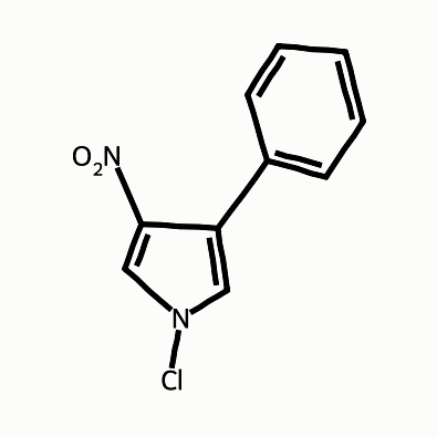 O=[N+]([O-])c1cn(Cl)cc1-c1ccccc1